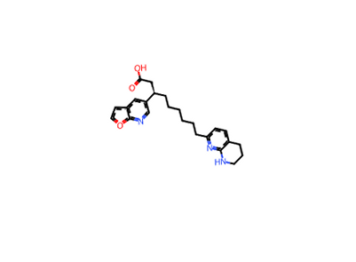 O=C(O)C[C@@H](CCCCCCc1ccc2c(n1)NCCC2)c1cnc2occc2c1